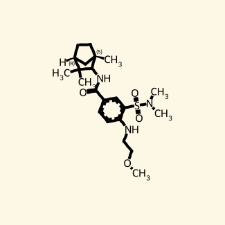 COCCNc1ccc(C(=O)NC2C(C)(C)[C@@H]3CC[C@@]2(C)C3)cc1S(=O)(=O)N(C)C